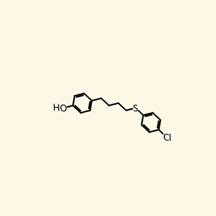 Oc1ccc(CCCCSc2ccc(Cl)cc2)cc1